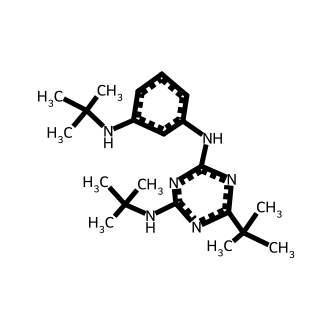 CC(C)(C)Nc1cccc(Nc2nc(NC(C)(C)C)nc(C(C)(C)C)n2)c1